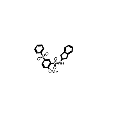 COc1ccc(S(=O)(=O)c2ccccc2)cc1S(=O)(=O)NC1Cc2ccccc2C1